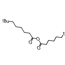 CC(C)(C)CCCCCC(=O)OC(=O)CCCCCC(C)(C)C